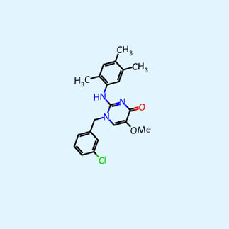 COc1cn(Cc2cccc(Cl)c2)c(Nc2cc(C)c(C)cc2C)nc1=O